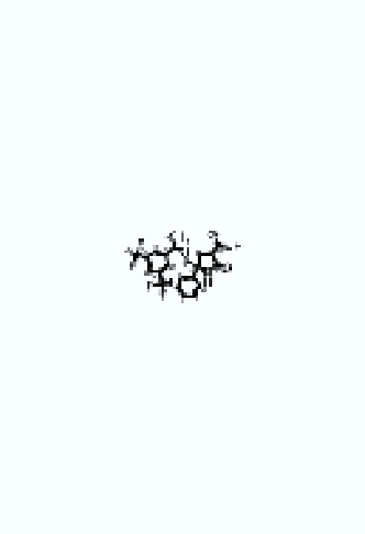 C[C@@H](OC[C@@]1(c2ccccc2)CC(C(=O)O)C(=O)N1)c1cc(C(F)(F)F)cc(C(F)(F)F)c1